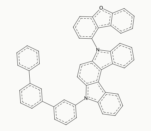 c1ccc(-c2cccc(-c3cccc(-n4c5ccccc5c5c6c7ccccc7n(-c7cccc8oc9ccccc9c78)c6ccc54)c3)c2)cc1